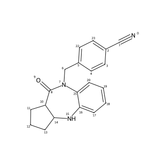 N#Cc1ccc(CN2C(=O)C3CCCC3Nc3ccccc32)cc1